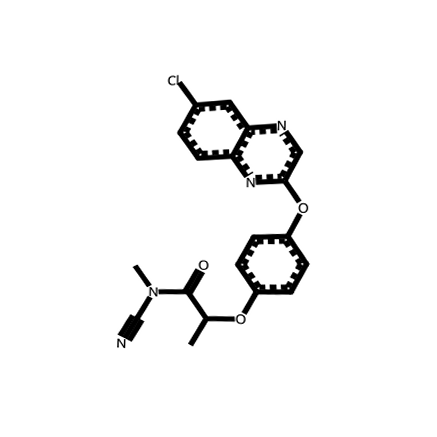 CC(Oc1ccc(Oc2cnc3cc(Cl)ccc3n2)cc1)C(=O)N(C)C#N